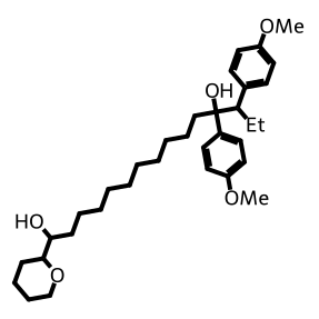 CCC(c1ccc(OC)cc1)C(O)(CCCCCCCCCCC(O)C1CCCCO1)c1ccc(OC)cc1